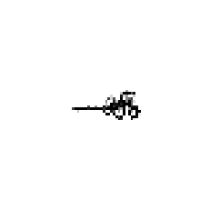 CCCCCCCCCOC(=O)C1CCCCn2c1cc(CC)c2C(=O)c1ccccc1